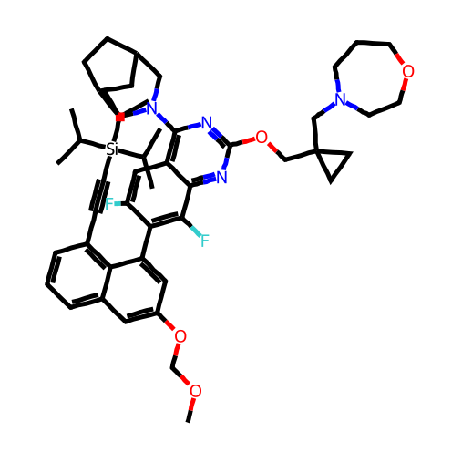 COCOc1cc(-c2c(F)cc3c(N4CC5CCC(C5)C4)nc(OCC4(CN5CCCOCC5)CC4)nc3c2F)c2c(C#C[Si](C(C)C)(C(C)C)C(C)C)cccc2c1